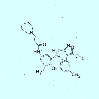 Cc1cc(Oc2c(C)cc(NC(=O)CCN3CCCCC3)cc2C)cc(-c2c(C)noc2C)c1